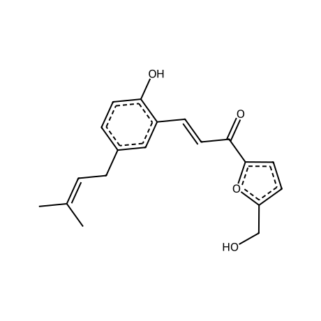 CC(C)=CCc1ccc(O)c(C=CC(=O)c2ccc(CO)o2)c1